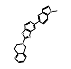 Cn1ccc2cc(-c3ccc4oc(N5CCc6ncccc6C5)nc4c3)ccc21